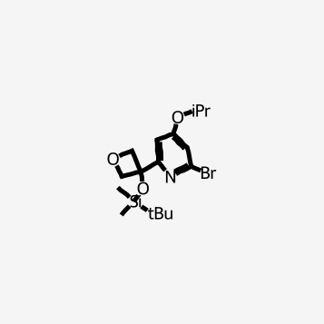 CC(C)Oc1cc(Br)nc(C2(O[Si](C)(C)C(C)(C)C)COC2)c1